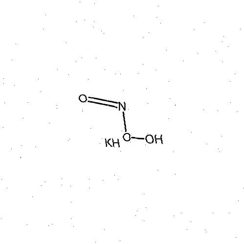 O=NOO.[KH]